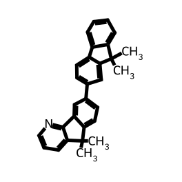 CC1(C)c2ccccc2-c2ccc(-c3ccc4c(c3)-c3ncccc3C4(C)C)cc21